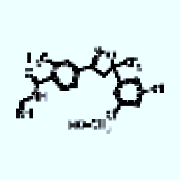 CO.Cc1cc(C2=NOC(c3cc(Cl)cc(Cl)c3)(C(F)(F)F)C2)ccc1C(=O)NC=N